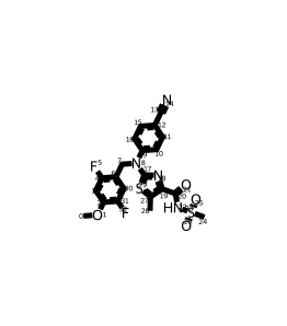 COc1cc(F)c(CN(c2ccc(C#N)cc2)c2nc(C(=O)NS(C)(=O)=O)c(C)s2)cc1F